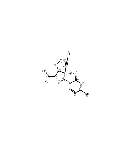 CO[C@H]1[C@@H]([C@H](C)O)O[C@@H](n2cnc(N)nc2=O)C1(F)C#CCl